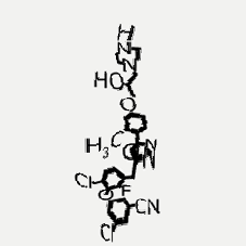 Cc1cc(OC[C@@H](O)CN2CCNCC2)ccc1-c1nnc(Cc2ccc(Cl)c(Oc3cc(Cl)cc(C#N)c3)c2F)o1